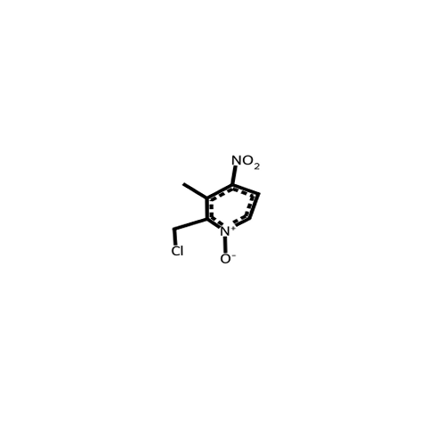 Cc1c([N+](=O)[O-])cc[n+]([O-])c1CCl